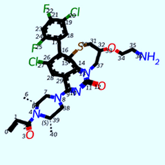 C=CC(=O)N1[C@H](C)CN(c2nc(=O)n3c4c(c(-c5cc(Cl)c(F)cc5F)c(Cl)cc24)SCC(OCCN)C3)C[C@@H]1C